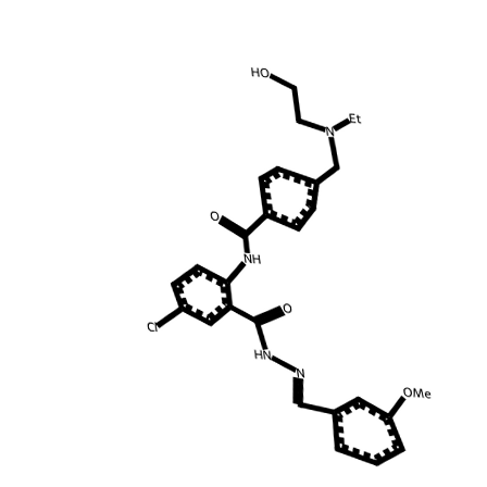 CCN(CCO)Cc1ccc(C(=O)Nc2ccc(Cl)cc2C(=O)NN=Cc2cccc(OC)c2)cc1